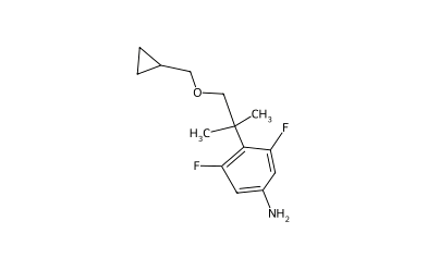 CC(C)(COCC1CC1)c1c(F)cc(N)cc1F